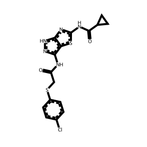 O=C(CSc1ccc(Cl)cc1)Nc1n[nH]c2nc(NC(=O)C3CC3)sc12